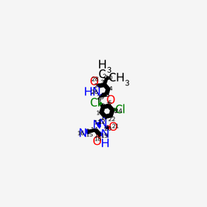 CC(C)c1cc(Oc2c(Cl)cc(-n3nc(C#N)c(=O)[nH]c3=O)cc2Cl)c[nH]c1=O